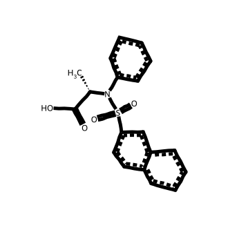 C[C@@H](C(=O)O)N(c1ccccc1)S(=O)(=O)c1ccc2ccccc2c1